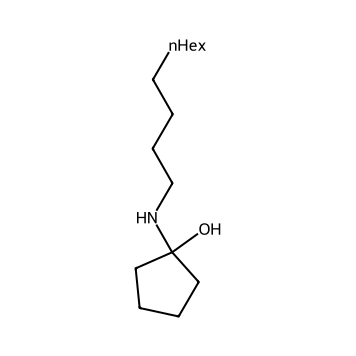 CCCCCCCCCCNC1(O)CCCC1